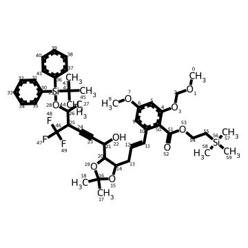 COCOc1cc(OC)cc(/C=C/CC2OC(C)(C)OC2C(O)C#CC(C(C)O[Si](c2ccccc2)(c2ccccc2)C(C)(C)C)C(F)(F)F)c1C(=O)OCC[Si](C)(C)C